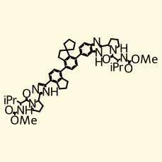 COC(=O)NC(C(=O)N1CCCC1c1ncc(-c2ccc(-c3ccc(-c4ccc5nc(C6CCCN6C(=O)C(NC(=O)OC)C(C)C)[nH]c5c4)c4c3CCC43CCCC3)c3c2CCC3)[nH]1)C(C)C